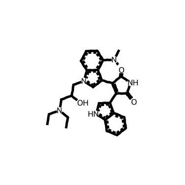 CCN(CC)CC(O)Cn1cc(C2=C(c3c[nH]c4ccccc34)C(=O)NC2=O)c2c(N(C)C)cccc21